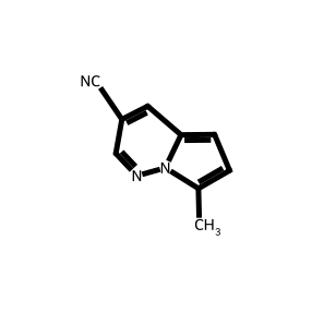 Cc1ccc2cc(C#N)cnn12